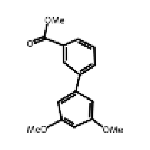 COC(=O)c1cccc(-c2cc(OC)cc(OC)c2)c1